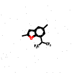 Cc1cc(C(C(F)(F)F)C(F)(F)F)c2oc(C)cc2c1